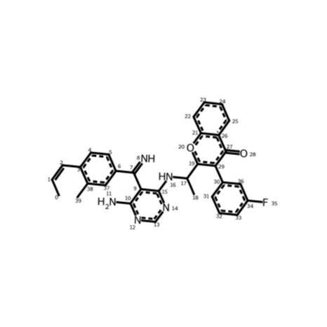 C/C=C\c1ccc(C(=N)c2c(N)ncnc2NC(C)c2oc3ccccc3c(=O)c2-c2cccc(F)c2)cc1C